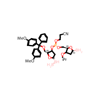 BB[C@H]1CC(OP(OCCC#N)OC[C@H]2O[C@@H](B)CC2OC(C)C)[C@@H](COC(c2ccccc2)(c2ccc(OC)cc2)c2ccc(OC)cc2)O1